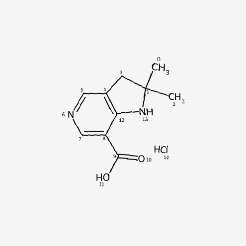 CC1(C)Cc2cncc(C(=O)O)c2N1.Cl